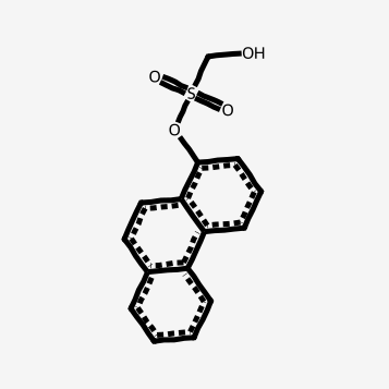 O=S(=O)(CO)Oc1cccc2c1ccc1ccccc12